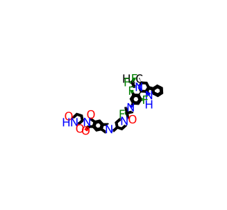 C[C@@H]1Cc2c([nH]c3ccccc23)[C@@H](c2c(F)cc(N3CC(F)(C(=O)N4CCC(CN5Cc6cc7c(cc6C5)C(=O)N(C5CCC(=O)NC5=O)C7=O)CC4)C3)cc2F)N1CC(F)F